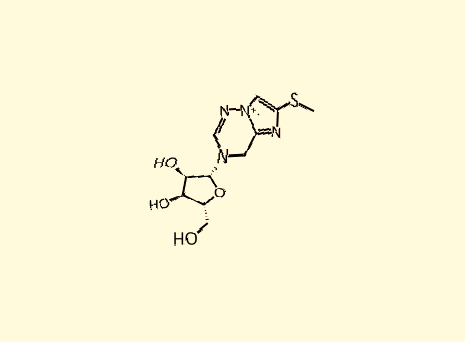 CSC1=C[N+]2N=CN([C@@H]3O[C@H](CO)[C@@H](O)[C@H]3O)CC2=N1